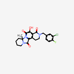 CC12CCCCN1C(=O)c1c3c(c(O)c(=O)n12)C(=O)N(Cc1ccc(F)c(Cl)c1)CC3